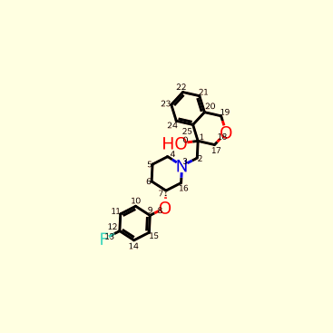 OC1(CN2CCC[C@@H](Oc3ccc(F)cc3)C2)COCc2ccccc21